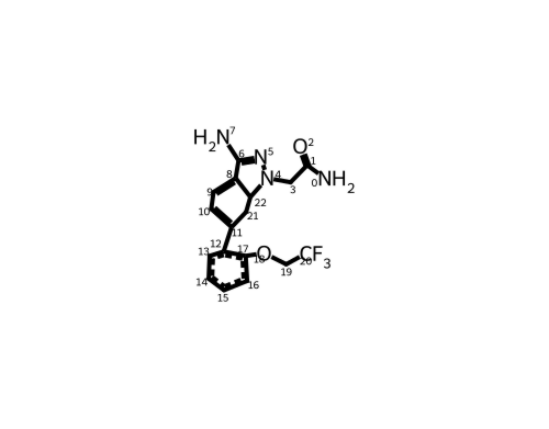 NC(=O)CN1N=C(N)C2=CC=C(c3ccccc3OCC(F)(F)F)CC21